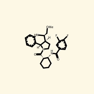 COC[C@@H]1Nc2ccccc2[C@H]2[C@@H]1CCN2C(=O)[C@H]1CCCC[C@H]1NC(=O)c1ccc(F)c(F)c1